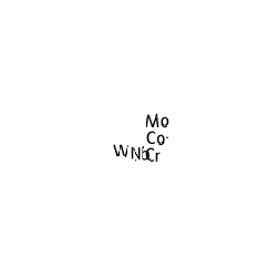 [Co].[Cr].[Mo].[Nb].[W]